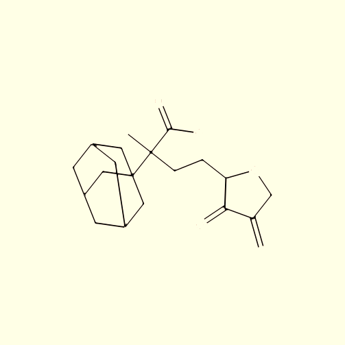 C=C1COC(CCC(C)(C(=O)O)C23CC4CC(CC(C4)C2)C3)C1=O